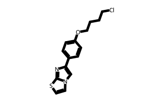 ClCCCCOc1ccc(-c2cn3ccsc3n2)cc1